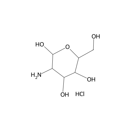 Cl.NC1C(O)OC(CO)C(O)C1O